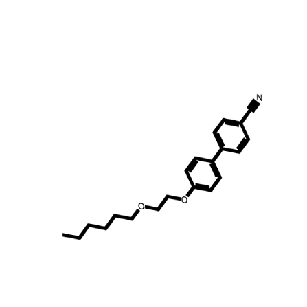 CCCCCCOCCOc1ccc(-c2ccc(C#N)cc2)cc1